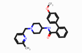 Cc1cccc(CN2CCC(NC(=O)c3ccccc3-c3ccc(OC(F)(F)F)cc3)CC2)n1